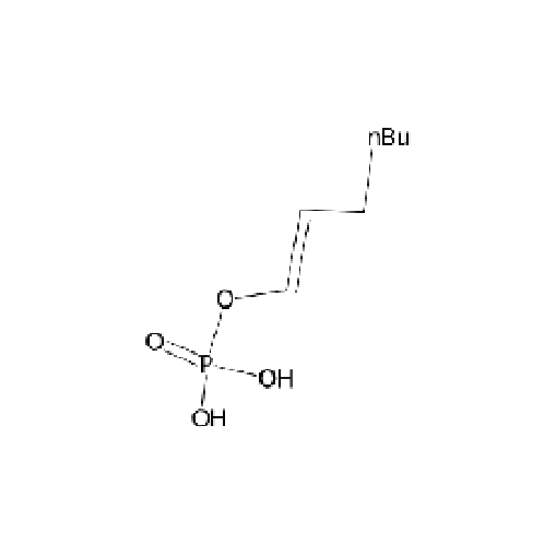 CCCCCC=COP(=O)(O)O